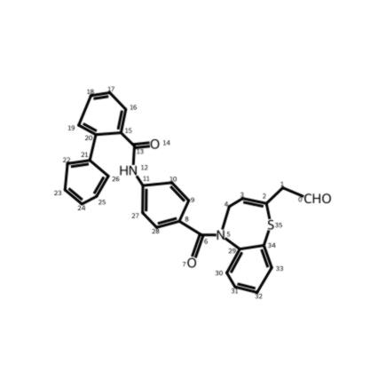 O=CCC1=CCN(C(=O)c2ccc(NC(=O)c3ccccc3-c3ccccc3)cc2)c2ccccc2S1